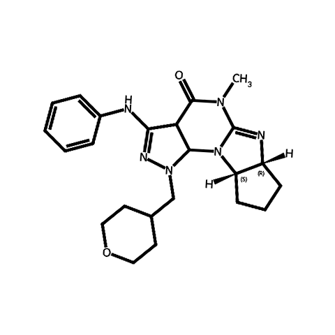 CN1C(=O)C2C(Nc3ccccc3)=NN(CC3CCOCC3)C2N2C1=N[C@@H]1CCC[C@@H]12